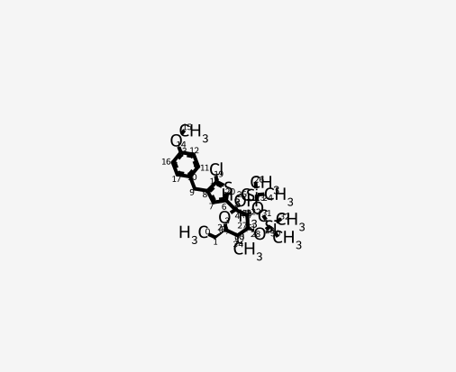 CC[C@H]1OC(O)(c2cc(Cc3ccc(OC)cc3)c(Cl)s2)[C@H](O[Si](C)(C)C)[C@@H](O[Si](C)(C)C)[C@@H]1C